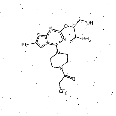 CCc1cc2c(N3CCN(C(=O)CC(F)(F)F)CC3)nc(O[C@@H](CO)C(N)=O)nc2s1